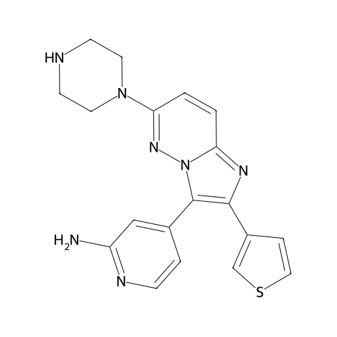 Nc1cc(-c2c(-c3ccsc3)nc3ccc(N4CCNCC4)nn23)ccn1